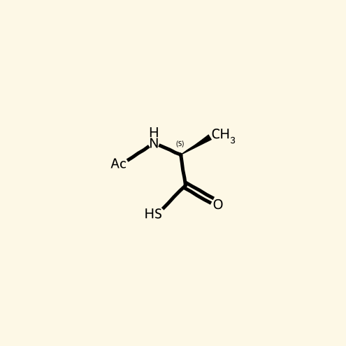 CC(=O)N[C@@H](C)C(=O)S